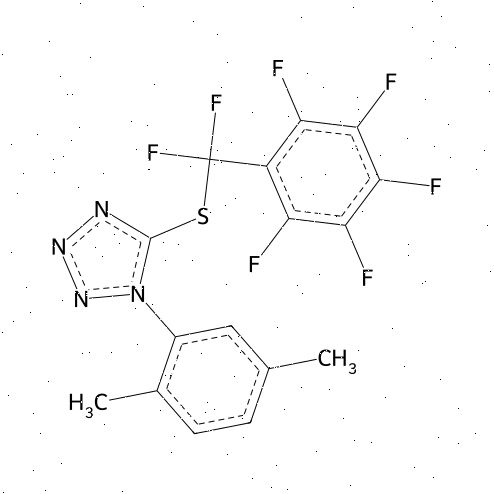 Cc1ccc(C)c(-n2nnnc2SC(F)(F)c2c(F)c(F)c(F)c(F)c2F)c1